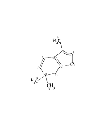 Cc1coc2c1C=CC(C)(C)C2